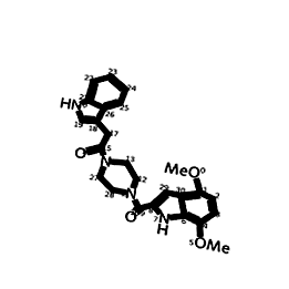 COc1ccc(OC)c2[nH]c(C(=O)N3CCN(C(=O)Cc4c[nH]c5ccccc45)CC3)cc12